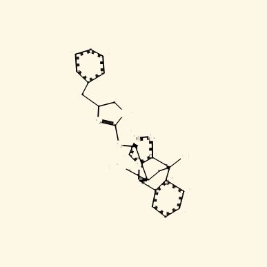 CC12CC(C)(C(=O)NC3=NC(Cc4ccccc4)CS3)C(c3ccccc31)n1cnnc12